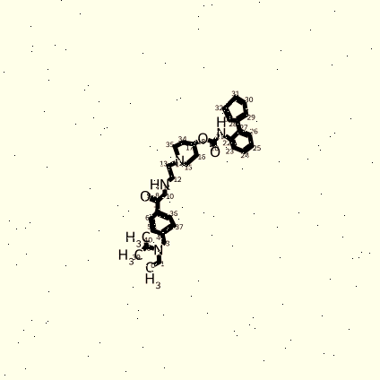 CCN(Cc1ccc(C(=O)CNCCN2CCC(OC(=O)Nc3ccccc3-c3ccccc3)CC2)cc1)C(C)C